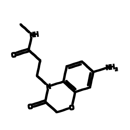 CNC(=O)CCN1C(=O)COc2cc(N)ccc21